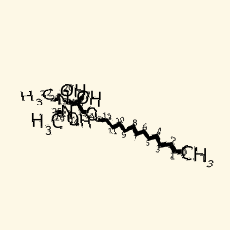 CCCCCCCCCCCCCCOCC(O)C(N(O)CC)N(O)CC